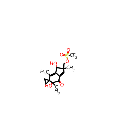 CC1=C2C(=CC(C)(COS(=O)(=O)C(F)(F)F)C2O)C(=O)C(C)(O)C12CC2